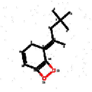 CC(CC(C)(C)C)=C1CC=Cc2ooc21